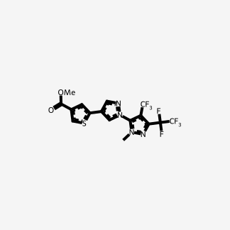 COC(=O)c1csc(-c2cnn(-c3c(C(F)(F)F)c(C(F)(F)C(F)(F)F)nn3C)c2)c1